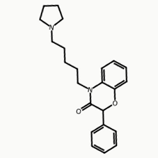 O=C1C(c2ccccc2)Oc2ccccc2N1CCCCCN1CCCC1